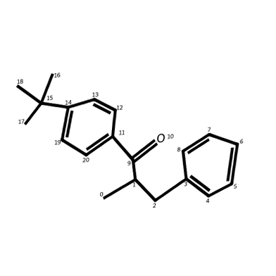 CC(Cc1ccccc1)C(=O)c1ccc(C(C)(C)C)cc1